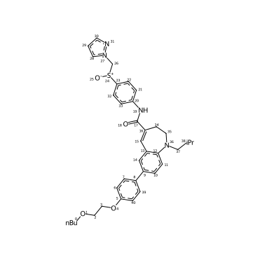 CCCCOCCOc1ccc(-c2ccc3c(c2)C=C(C(=O)Nc2ccc([S+]([O-])Cn4cccn4)cc2)CCN3CC(C)C)cc1